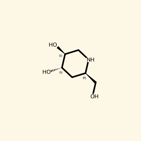 OC[C@H]1C[C@H](O)[C@@H](O)CN1